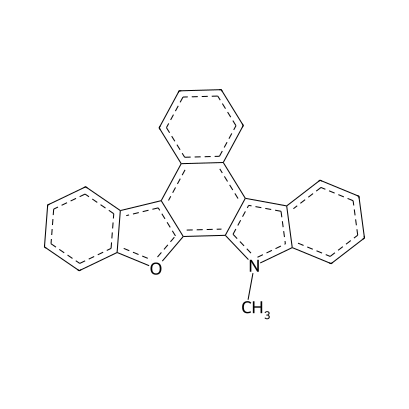 Cn1c2ccccc2c2c3ccccc3c3c4ccccc4oc3c21